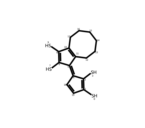 SC1=C(S)C(=C2C(S)=C(S)C3=C2CCCCCC3)C=C1